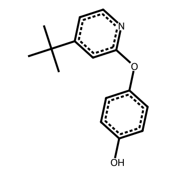 CC(C)(C)c1ccnc(Oc2ccc(O)cc2)c1